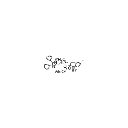 COCC(=O)O[C@]1(CCN(C)CCCc2nc(-c3ccccc3)c(-c3ccccc3)n2C)CCc2cc(F)ccc2[C@@H]1C(C)C